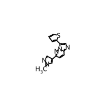 Cn1cc(-c2ccc3ncc(-c4cccs4)n3n2)cn1